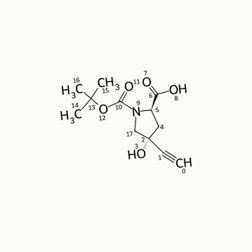 C#C[C@]1(O)C[C@H](C(=O)O)N(C(=O)OC(C)(C)C)C1